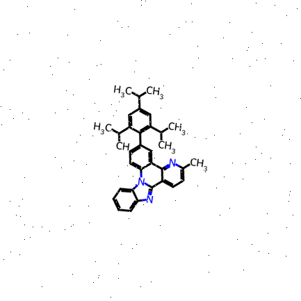 Cc1ccc2c(n1)c1cc(-c3c(C(C)C)cc(C(C)C)cc3C(C)C)ccc1n1c3ccccc3nc21